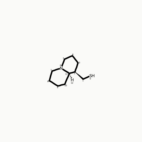 SC[C@@H]1CCCN2CCCC[C@H]12